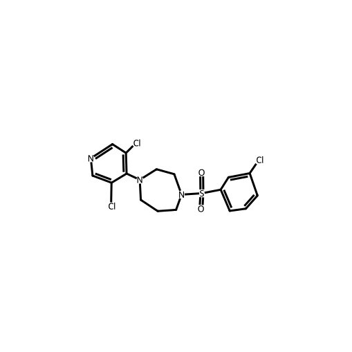 O=S(=O)(c1cccc(Cl)c1)N1CCCN(c2c(Cl)cncc2Cl)CC1